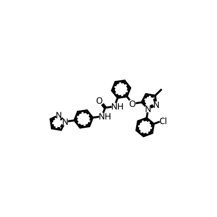 Cc1cc(Oc2ccccc2NC(=O)Nc2ccc(-n3cccn3)cc2)n(-c2ccccc2Cl)n1